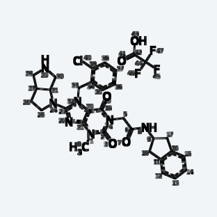 Cn1c(=O)n(CC(=O)NC2Cc3ccccc3C2)c(=O)c2c1nc(N1CCC3CNCC31)n2Cc1ccccc1Cl.O=C(O)C(F)(F)F